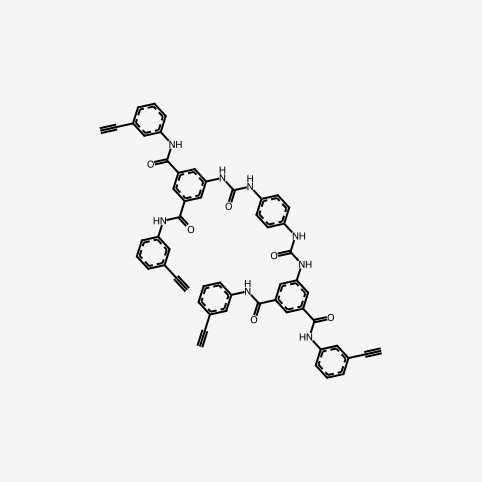 C#Cc1cccc(NC(=O)c2cc(NC(=O)Nc3ccc(NC(=O)Nc4cc(C(=O)Nc5cccc(C#C)c5)cc(C(=O)Nc5cccc(C#C)c5)c4)cc3)cc(C(=O)Nc3cccc(C#C)c3)c2)c1